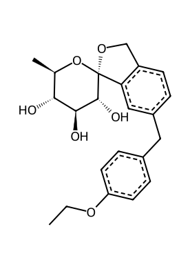 CCOc1ccc(Cc2ccc3c(c2)[C@]2(OC3)O[C@H](C)[C@@H](O)[C@H](O)[C@H]2O)cc1